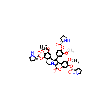 COc1cc(-c2c3n(c4c(=O)oc5cc(OC(=O)[C@@H]6CCCN6)c(OC)cc5c24)CCc2c-3cc(OC)c(OC)c2OC(=O)[C@@H]2CCCN2)ccc1OC(=O)[C@@H]1CCCN1